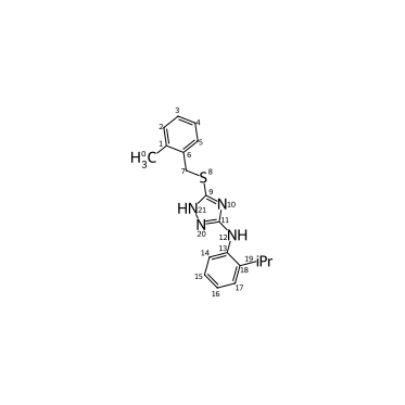 Cc1ccccc1CSc1nc(Nc2ccccc2C(C)C)n[nH]1